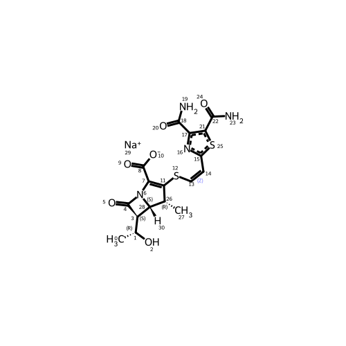 C[C@@H](O)[C@H]1C(=O)N2C(C(=O)[O-])=C(S/C=C\c3nc(C(N)=O)c(C(N)=O)s3)[C@H](C)[C@H]12.[Na+]